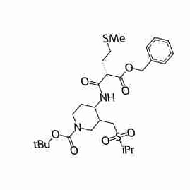 CSCC[C@@H](C(=O)NC1CCN(C(=O)OC(C)(C)C)CC1CS(=O)(=O)C(C)C)C(=O)OCc1ccccc1